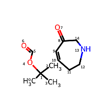 CC(C)(C)OC=O.O=C1C=CCCNC1